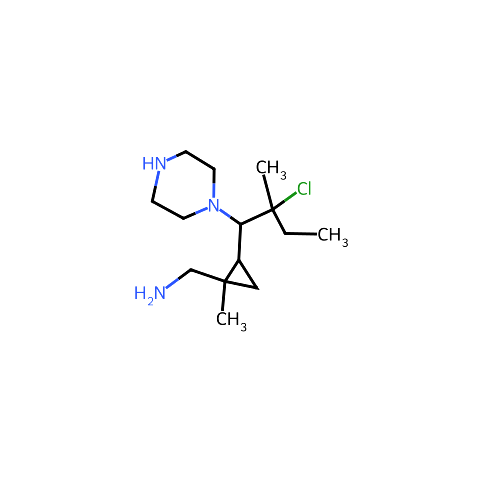 CCC(C)(Cl)C(C1CC1(C)CN)N1CCNCC1